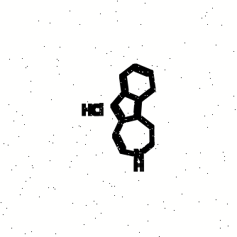 C1=CCC2=C3CCNC=CC3=CC2=C1.Cl